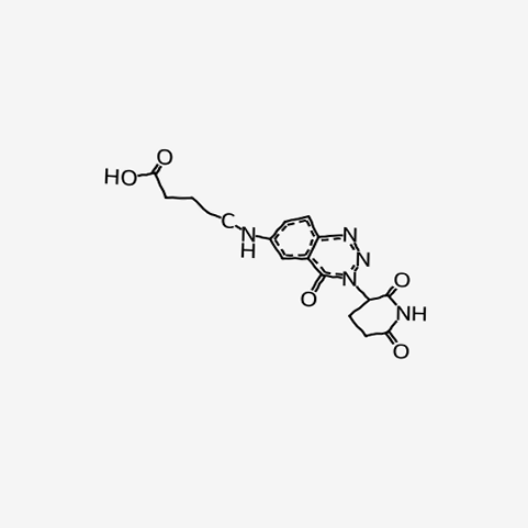 O=C(O)CCCCNc1ccc2nnn(C3CCC(=O)NC3=O)c(=O)c2c1